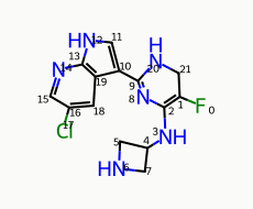 FC1=C(NC2CNC2)N=C(c2c[nH]c3ncc(Cl)cc23)NC1